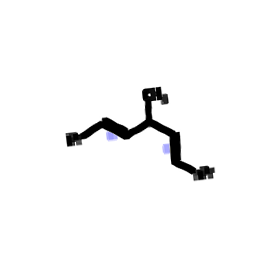 CCC/C=C/[C](C)/C=C/C(C)C